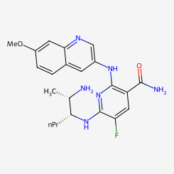 CCC[C@@H](Nc1nc(Nc2cnc3cc(OC)ccc3c2)c(C(N)=O)cc1F)[C@H](C)N